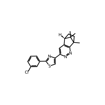 CC12CC[C@@H](c3cc(-c4csc(-c5cccc(Cl)c5)n4)nnc31)C2(C)C